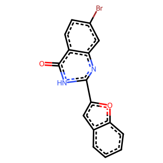 O=c1[nH]c(-c2cc3ccccc3o2)nc2cc(Br)ccc12